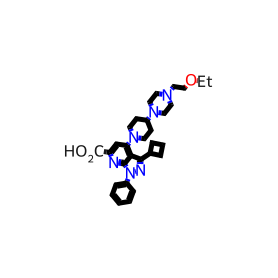 CCOCCN1CCN(C2CCN(c3cc(C(=O)O)nc4c3c(C3CCC3)nn4-c3ccccc3)CC2)CC1